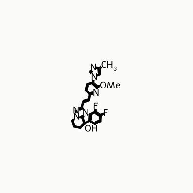 COc1nc(/C=C/c2nc3n(n2)CCCC3(O)c2ccc(F)c(F)c2)ccc1-n1cnc(C)c1